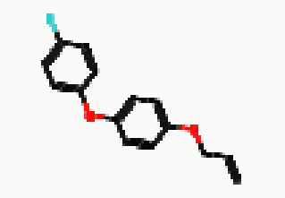 C=CCOc1ccc(Oc2ccc(F)cc2)cc1